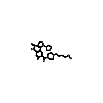 CCOCCCCN1CCN(C(=O)c2cc3c(cc2C)[nH]c(=O)c2cnn([C@H]4CCOC4)c23)CC1